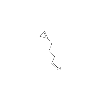 [CH]=CCCCC1=CC1